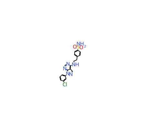 NS(=O)(=O)c1ccc(CCNc2ncnc3c2cnn3-c2cccc(Cl)c2)cc1